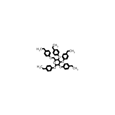 CCc1ccc(OCC2OC(Oc3ccc(CC)cc3)C(Oc3ccc(CC)cc3)C(Oc3ccc(CC)cc3)C2Oc2ccc(CC)cc2)cc1